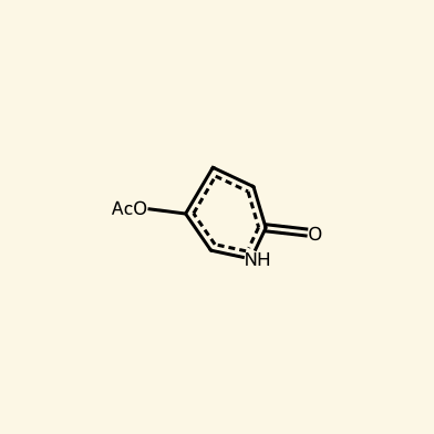 CC(=O)Oc1ccc(=O)[nH]c1